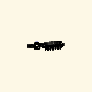 O=C(O)/C=C\C(=O)OCC(F)(F)C(F)(F)C(F)(F)C(F)(F)C(F)(F)C(F)(F)C(F)(F)F